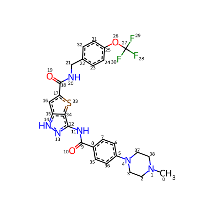 CN1CCN(c2ccc(C(=O)Nc3n[nH]c4cc(C(=O)NCc5ccc(OC(F)(F)F)cc5)sc34)cc2)CC1